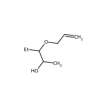 C=CCOC(CC)C(C)O